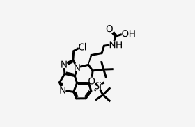 CC(C)(C)C(O[Si](C)(C)C(C)(C)C)[C@H](CCCNC(=O)O)n1c(CCl)nc2cnc3ccccc3c21